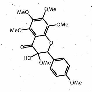 COc1ccc(C2Oc3c(OC)c(OC)c(OC)c(OC)c3C(=O)C2(O)OC)cc1